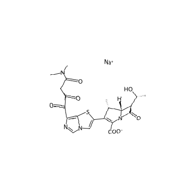 C[C@@H](O)[C@H]1C(=O)N2C(C(=O)[O-])=C(c3cn4cnc(C(=O)C(=O)CC(=O)N(C)C)c4s3)[C@H](C)[C@H]12.[Na+]